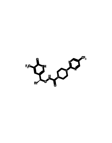 CC[C@@H](ONC(=O)N1CCN(c2ncc(C(F)(F)F)cn2)CC1)c1c[nH]c(=O)c(C(F)(F)F)c1